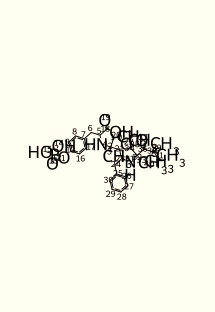 CCC(C)(NC(Cc1ccc(OP(=O)(O)O)cc1)C(=O)O)C(=O)C(Cc1ccccc1)NC(C)(CC)C(=O)C(C)(C)C